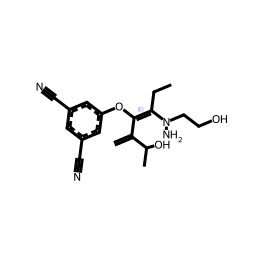 C=C(/C(Oc1cc(C#N)cc(C#N)c1)=C(/CC)N(N)CCO)C(C)O